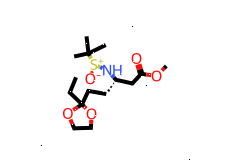 CCC1(CC[C@@H](CC(=O)OC)N[S@@+]([O-])C(C)(C)C)OCCO1